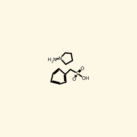 NN1CCCC1.O=S(=O)(O)Cc1ccccc1